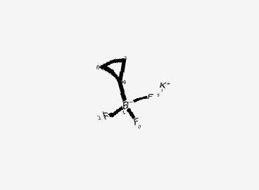 F[B-](F)(F)C1CC1.[K+]